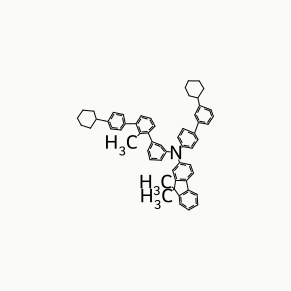 Cc1c(-c2ccc(C3CCCCC3)cc2)cccc1-c1cccc(N(c2ccc(-c3cccc(C4CCCCC4)c3)cc2)c2ccc3c(c2)C(C)(C)c2ccccc2-3)c1